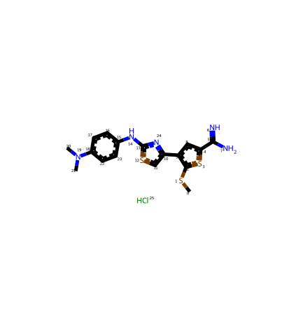 CSc1sc(C(=N)N)cc1-c1csc(Nc2ccc(N(C)C)cc2)n1.Cl